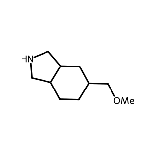 COCC1CCC2CNCC2C1